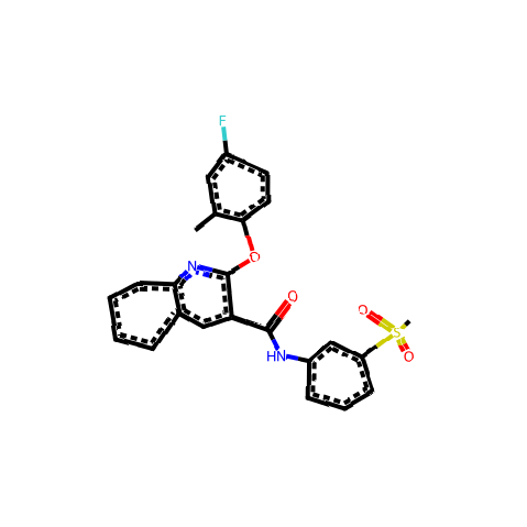 Cc1cc(F)ccc1Oc1nc2ccccc2cc1C(=O)Nc1cccc(S(C)(=O)=O)c1